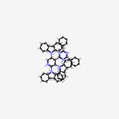 c1ccc(-c2nc(-c3ccccc3)nc(-c3c(-n4c5ccccc5c5ccccc54)cnc(-n4c5ccccc5c5ccccc54)c3-n3c4ccccc4c4ccccc43)n2)cc1